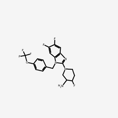 NC1CN(c2nc3cc(F)c(F)cc3n2Cc2ccc(OC(F)(F)F)cc2)CCC1F